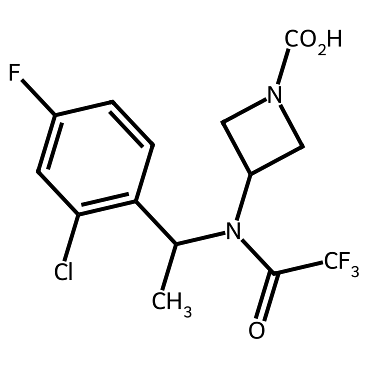 CC(c1ccc(F)cc1Cl)N(C(=O)C(F)(F)F)C1CN(C(=O)O)C1